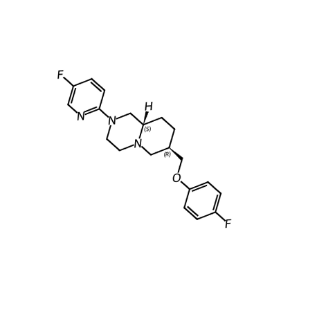 Fc1ccc(OC[C@@H]2CC[C@H]3CN(c4ccc(F)cn4)CCN3C2)cc1